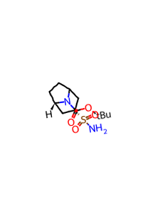 CC(C)(C)OC(=O)N1C2CC[C@H]1C[C@@H](S(N)(=O)=O)C2